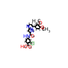 COc1ccc(-c2ccnc3cc(C(=O)Nc4ccc(C(=O)O)c(Cl)c4)nn23)cc1OC